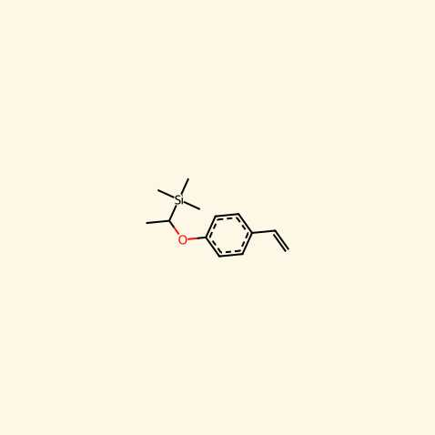 C=Cc1ccc(OC(C)[Si](C)(C)C)cc1